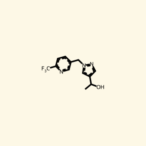 CC(O)c1cnn(Cc2ccc(C(F)(F)F)nc2)c1